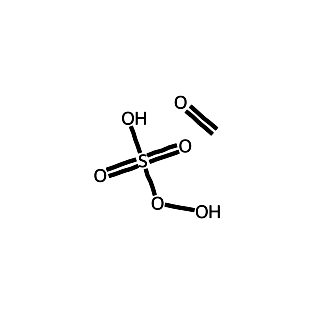 C=O.O=S(=O)(O)OO